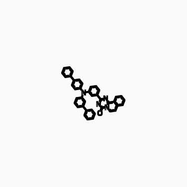 O=c1nc(-c2cccc(N(c3ccc(-c4ccccc4)cc3)c3cccc(-c4ccccc4)c3)c2)nc2c3ccccc3ccn12